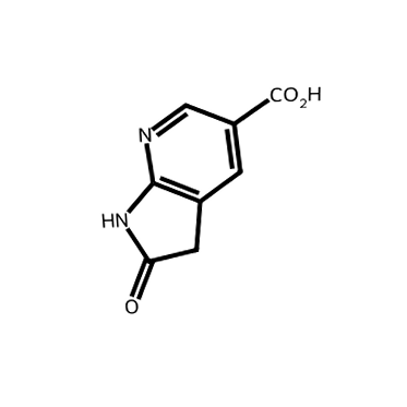 O=C1Cc2cc(C(=O)O)cnc2N1